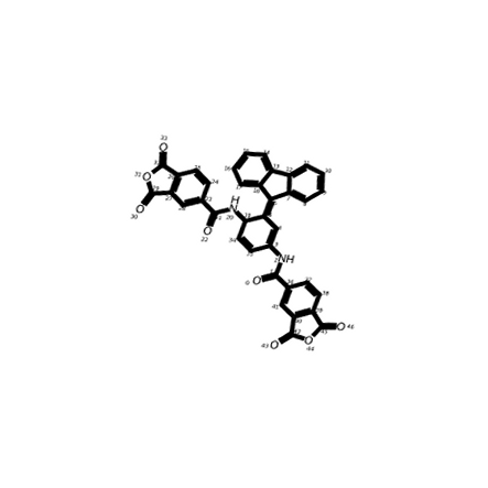 O=C(NC1=CC(=C2c3ccccc3-c3ccccc32)C(NC(=O)c2ccc3c(c2)C(=O)OC3=O)C=C1)c1ccc2c(c1)C(=O)OC2=O